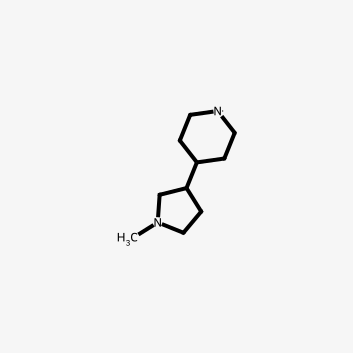 CN1CCC(C2CC[N]CC2)C1